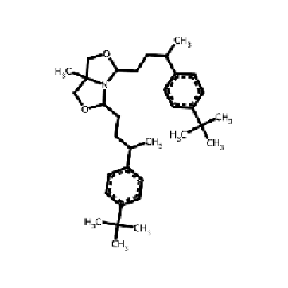 CC(CCC1OCC2(C)COC(CCC(C)c3ccc(C(C)(C)C)cc3)N12)c1ccc(C(C)(C)C)cc1